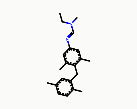 CCN(C)C=Nc1cc(C)c(Cc2cc(C)ccc2C)c(C)c1